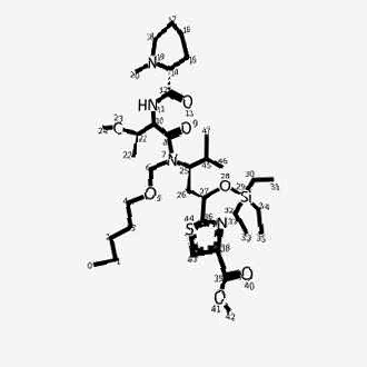 CCCCCOCN(C(=O)C(NC(=O)[C@H]1CCCCN1C)[C@@H](C)CC)[C@H](C[C@@H](O[Si](CC)(CC)CC)c1nc(C(=O)OC)cs1)C(C)C